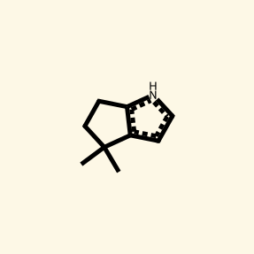 CC1(C)CCc2[nH]ccc21